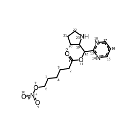 O=C(CCCCCO[N+](=O)[O-])OC(c1ncccn1)C1CCCN1